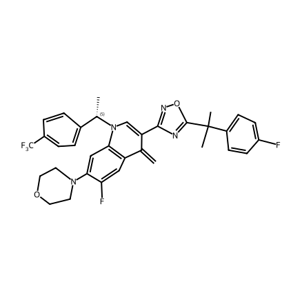 C=C1C(c2noc(C(C)(C)c3ccc(F)cc3)n2)=CN([C@@H](C)c2ccc(C(F)(F)F)cc2)c2cc(N3CCOCC3)c(F)cc21